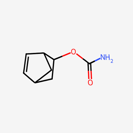 NC(=O)OC1CC2C=CC1C2